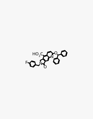 O=C(O)c1c2c(cc3nc(OC(c4ccccc4)c4ccccc4)ccc13)C(=O)N(Cc1ccc(F)cc1)C2